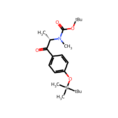 C[C@@H](C(=O)c1ccc(O[Si](C)(C)C(C)(C)C)cc1)N(C)C(=O)OC(C)(C)C